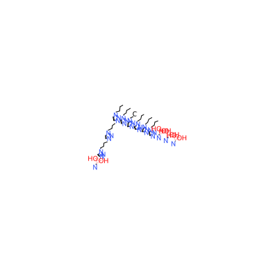 CCCCn1ccnn1.CCCCn1ccnn1.CCCCn1ccnn1.CCCCn1ccnn1.CCCCn1ccnn1.CCCCn1ccnn1.CCCCn1ccnn1.CCCCn1ccnn1.N#CB(O)O.N#CB(O)O.N#CB(O)O.N#CB(O)O